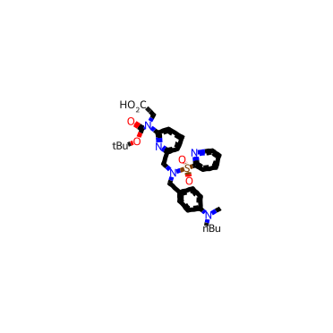 CCCCN(C)c1ccc(CN(Cc2cccc(N(CC(=O)O)C(=O)OC(C)(C)C)n2)S(=O)(=O)c2ccccn2)cc1